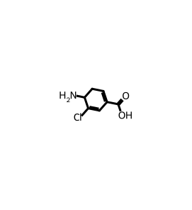 NC1CC=C(C(=O)O)C=C1Cl